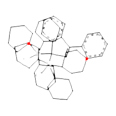 ClP(C1CCCCC1)(C1CCCCC1)(C1CCCCC1)C1(P(Cl)(C2CCCCC2)(C2CCCCC2)C2CCCCC2)C=C(c2ccccc2)c2ccccc21